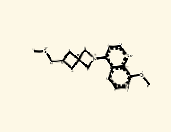 COc1nccc2c(N3CC4(CC(CSC)C4)C3)ccnc12